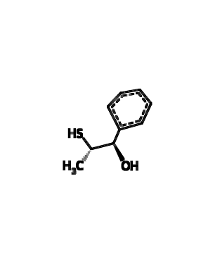 C[C@H](S)[C@H](O)c1ccccc1